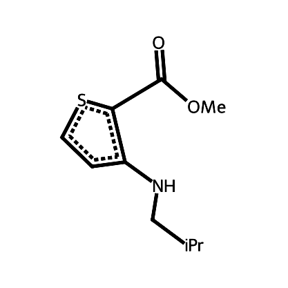 COC(=O)c1sccc1NCC(C)C